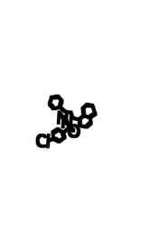 O=C(c1ccc(Cl)cc1)N1N=C(c2ccccc2)CC1c1cccc2ccccc12